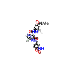 CNC(=O)C1=CCC(C)(CNC(=O)c2cc(C(=O)NCc3ccc4oc(=O)[nH]c4c3)nc3c(F)cnn23)CC1